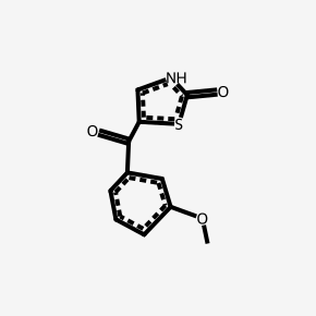 COc1cccc(C(=O)c2c[nH]c(=O)s2)c1